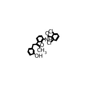 Cc1oc2c(NC(=O)c3c(Cl)cccc3Cl)cccc2c1Cc1cccc(O)c1